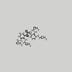 C=CCc1cccc(O[PH](=O)Oc2cccc(CC=C)c2CC=C)c1CC=C